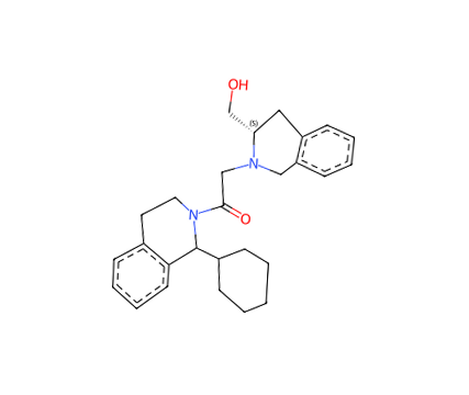 O=C(CN1Cc2ccccc2C[C@H]1CO)N1CCc2ccccc2C1C1CCCCC1